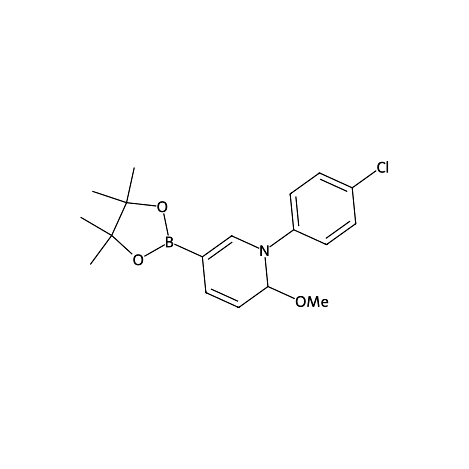 COC1C=CC(B2OC(C)(C)C(C)(C)O2)=CN1c1ccc(Cl)cc1